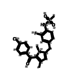 Cc1cc(Cc2ccc(NS(C)(=O)=O)c(F)c2)n(C)c1C(=O)c1ccc(Cl)cc1